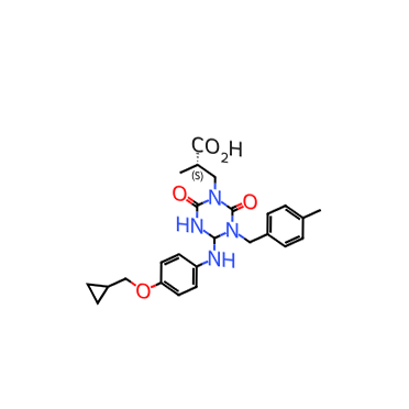 Cc1ccc(CN2C(=O)N(C[C@H](C)C(=O)O)C(=O)NC2Nc2ccc(OCC3CC3)cc2)cc1